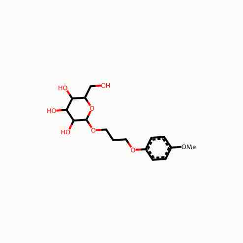 COc1ccc(OCCCOC2OC(CO)C(O)C(O)C2O)cc1